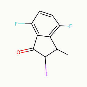 CC1c2c(F)ccc(F)c2C(=O)C1I